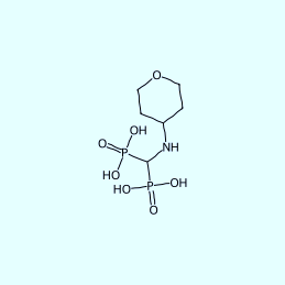 O=P(O)(O)C(NC1CCOCC1)P(=O)(O)O